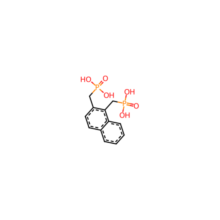 O=P(O)(O)Cc1ccc2ccccc2c1CP(=O)(O)O